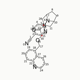 N#Cc1ccc(N2C3CCC2CN(C(=O)COCc2cccc4ncccc24)C3)nc1